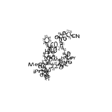 CC[C@H](C)[C@@H]([C@@H](CC(=O)N1CCC[C@H]1[C@H](OC)[C@@H](C)C(=O)N[C@@H](Cc1ccccc1)C(=O)O)OC)N(C)C(=O)[C@@H](NC(=O)[C@H](C(C)C)N(C)C(=O)OCc1ccc(NC(=O)[C@H](C)NC(=O)[C@@H](NC(=O)CCCCCN2C(=O)C=C(Oc3ccc(C#N)cc3)C2=O)C(C)C)cc1)C(C)C